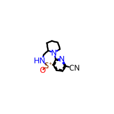 N#Cc1ccc2c(n1)N1CCCCC1CN[S+]2[O-]